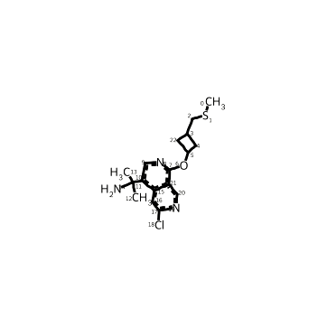 CSCC1CC(Oc2ncc(C(C)(C)N)c3cc(Cl)ncc23)C1